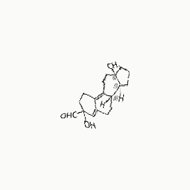 C[C@@]12CCC[C@H]1[C@@H]1CCC3=CC(O)(C=O)CCC3=C1CC2